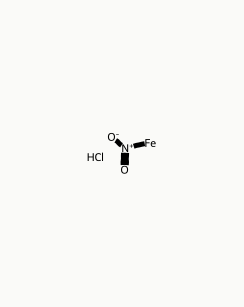 Cl.O=[N+]([O-])[Fe]